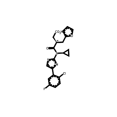 O=C(O)C[C@@H](Cc1ccco1)C(=O)N(c1nc(-c2cc(F)ccc2Cl)cs1)C1CC1